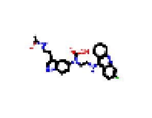 CC(=O)NCCc1c[nH]c2ccc(N(CCNc3c4c(nc5cc(Cl)ccc35)CCCC4)C(=O)O)cc12